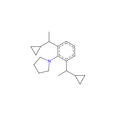 CC(c1cccc(C(C)C2CC2)c1N1CCCC1)C1CC1